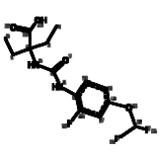 CCC(CC)(NC(=O)Nc1ccc(OC(F)F)cc1F)C(=O)O